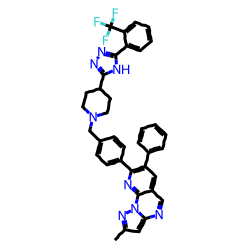 Cc1cc2ncc3cc(-c4ccccc4)c(-c4ccc(CN5CCC(c6nnc(-c7ccccc7C(F)(F)F)[nH]6)CC5)cc4)nc3n2n1